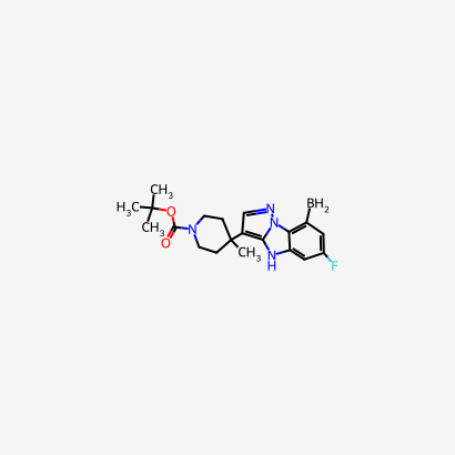 Bc1cc(F)cc2[nH]c3c(C4(C)CCN(C(=O)OC(C)(C)C)CC4)cnn3c12